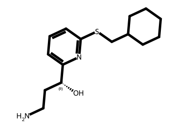 NCC[C@@H](O)c1cccc(SCC2CCCCC2)n1